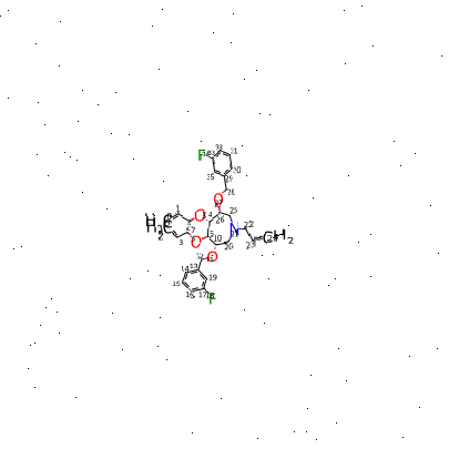 C=CCO[C@H]1[C@H](OCC=C)[C@@H](OCc2cccc(F)c2)CN(CC=C)C[C@@H]1OCc1cccc(F)c1